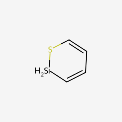 C1=C[SiH2]SC=C1